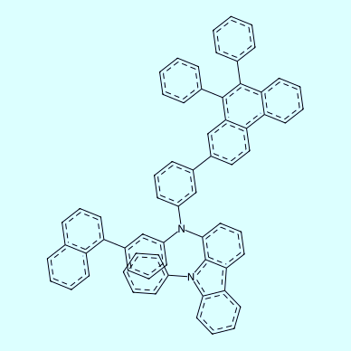 c1ccc(-c2c(-c3ccccc3)c3cc(-c4cccc(N(c5cccc(-c6cccc7ccccc67)c5)c5cccc6c7ccccc7n(-c7ccccc7)c56)c4)ccc3c3ccccc23)cc1